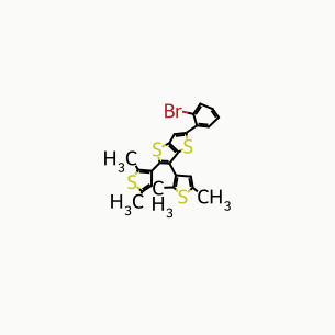 Cc1cc(-c2sc3cc(-c4ccccc4Br)sc3c2-c2cc(C)sc2C)c(C)s1